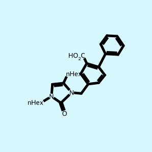 CCCCCCc1cn(CCCCCC)c(=O)n1Cc1ccc(-c2ccccc2)c(C(=O)O)c1